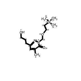 Cc1cc(CCCO)nn(COCC[Si](C)(C)C)c1=O